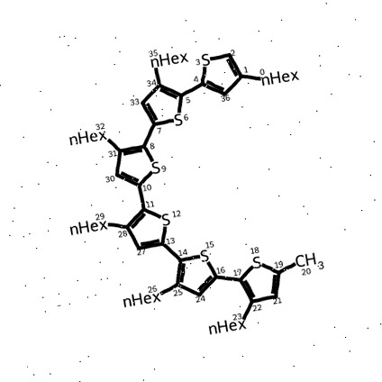 CCCCCCc1csc(-c2sc(-c3sc(-c4sc(-c5sc(-c6sc(C)cc6CCCCCC)cc5CCCCCC)cc4CCCCCC)cc3CCCCCC)cc2CCCCCC)c1